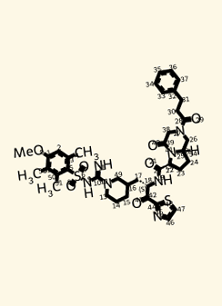 COc1cc(C)c(S(=O)(=O)NC(=N)N2CCCC(C[C@H](NC(=O)[C@@H]3CC[C@H]4CN(C(=O)CCc5ccccc5)CC(=O)N43)C(=O)c3nccs3)C2)c(C)c1C